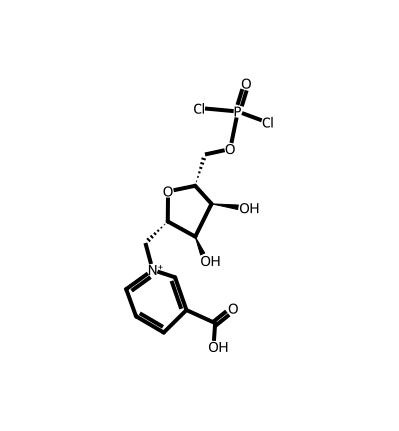 O=C(O)c1ccc[n+](C[C@@H]2O[C@H](COP(=O)(Cl)Cl)[C@@H](O)[C@H]2O)c1